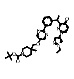 CCn1cc(-n2ccc(=O)c(C(C)c3cccc(-c4ncc(OCC5(F)CCN(C(=O)OC(C)(C)C)CC5)cn4)c3)n2)cn1